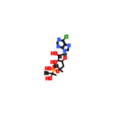 CCC(C)(CC1O[C@@H](n2cnc3c(Cl)ncnc32)[C@H](O)C1O)OP(=O)(O)C(C)(O)CC